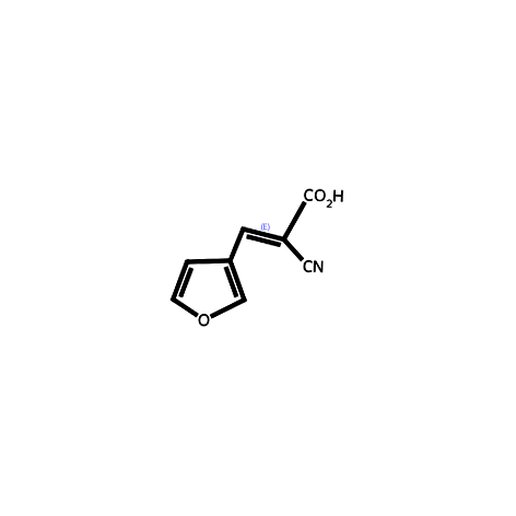 N#C/C(=C\c1ccoc1)C(=O)O